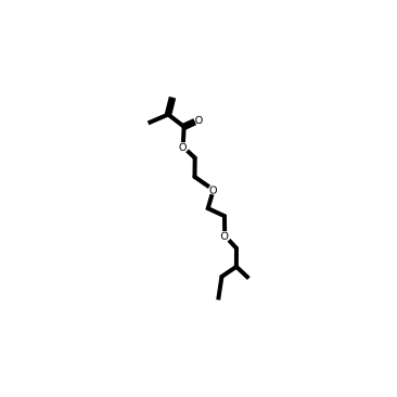 C=C(C)C(=O)OCCOCCOCC(C)CC